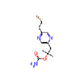 CC(C)(Cc1cnc(CCBr)cn1)OC(N)=O